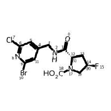 O=C(NCc1cc(Cl)nc(Br)c1)[C@@H]1C[C@@H](F)CN1C(=O)O